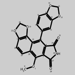 COc1c2c(c(-c3ccc4c(c3)OCO4)c3c4c(ccc13)OCO4)C(=O)NC2=O